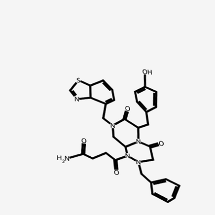 NC(=O)CCC(=O)N1C2CN(CC3=CC=CC4SC=NC34)C(=O)C(Cc3ccc(O)cc3)N2C(=O)CN1Cc1ccccc1